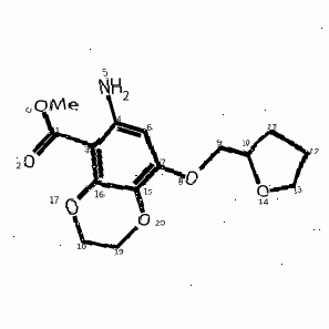 COC(=O)c1c(N)cc(OCC2CCCO2)c2c1OCCO2